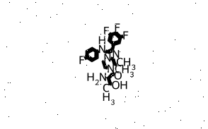 C[C@@H](O)[C@H](N)C(=O)N1CCn2c(nc(-c3cc(F)c(F)c(F)c3)c2Nc2ccc(F)cc2)C1(C)C